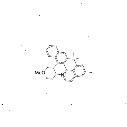 C=CC1C(COC)c2c3c(cc4ccccc24)C(C)(C)c2nc(C)cc4cc[n+]1c-3c24